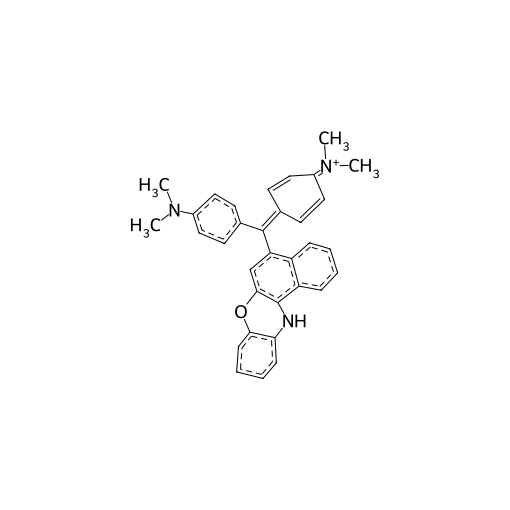 CN(C)c1ccc(C(=C2C=CC(=[N+](C)C)C=C2)c2cc3c(c4ccccc24)Nc2ccccc2O3)cc1